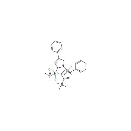 C[SiH](C)[Hf]([Cl])([Cl])([CH]1C=C(c2ccccc2)C=C1[Si](C)(C)C)[CH]1C=C(c2ccccc2)C=C1[Si](C)(C)C